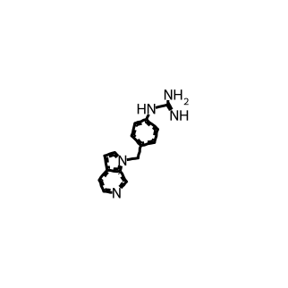 N=C(N)Nc1ccc(Cn2ccc3ccncc32)cc1